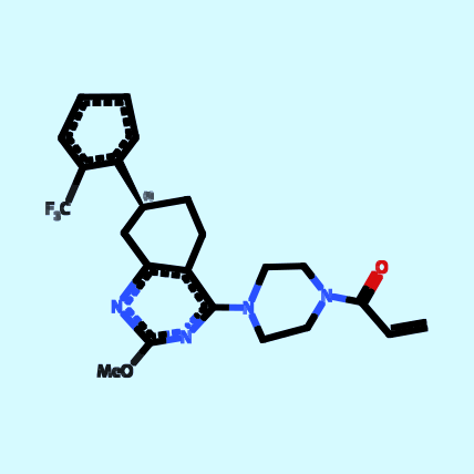 C=CC(=O)N1CCN(c2nc(OC)nc3c2CC[C@H](c2ccccc2C(F)(F)F)C3)CC1